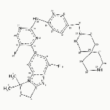 CC1(C)CCc2nc3c(F)cc(-c4nc(Nc5ccc(CN6CCC7(CCNCC7)CC6)cn5)ncc4F)cc3n21